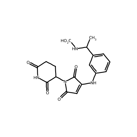 CC(NC(=O)O)c1cccc(NC2=CC(=O)N(C3CCC(=O)NC3=O)C2=O)c1